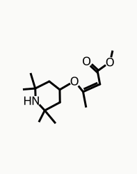 COC(=O)/C=C(/C)OC1CC(C)(C)NC(C)(C)C1